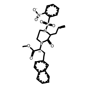 C=CCC1C(=O)N([C@@H](Cc2ccc3ccccc3c2)C(=O)OC)CCN1S(=O)(=O)c1ccccc1[N+](=O)[O-]